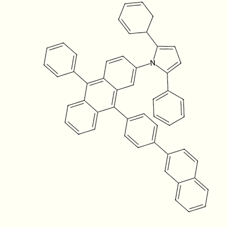 C1=CCC(c2ccc(-c3ccccc3)n2-c2ccc3c(-c4ccccc4)c4ccccc4c(-c4ccc(-c5ccc6ccccc6c5)cc4)c3c2)C=C1